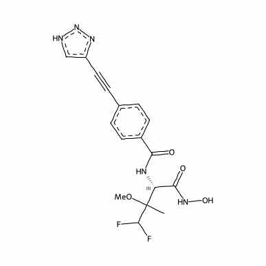 COC(C)(C(F)F)[C@H](NC(=O)c1ccc(C#Cc2c[nH]nn2)cc1)C(=O)NO